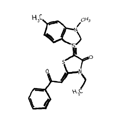 CCN1C(=O)C(=S2CN(C)c3cc(C)ccc32)SC1=CC(=O)c1ccccc1